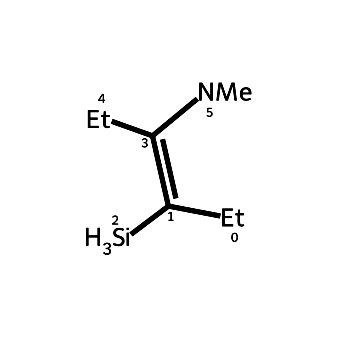 CCC([SiH3])=C(CC)NC